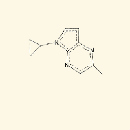 Cc1cnc2c(ccn2C2CC2)n1